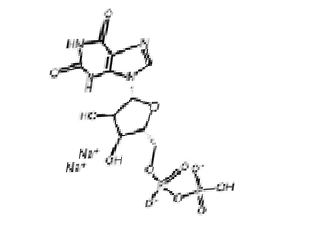 O=c1[nH]c(=O)c2ncn([C@@H]3O[C@H](COP(=O)([O-])OP(=O)([O-])O)[C@@H](O)[C@H]3O)c2[nH]1.[Na+].[Na+]